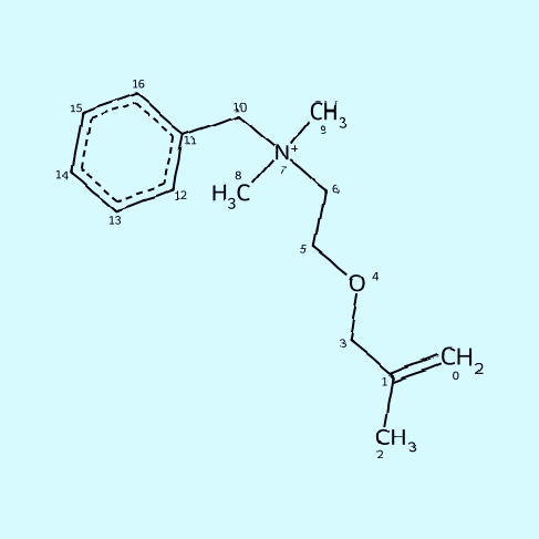 C=C(C)COCC[N+](C)(C)Cc1ccccc1